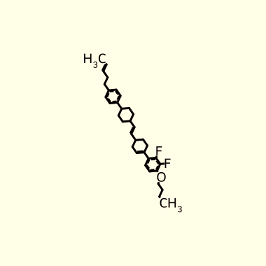 C/C=C/CCc1ccc(C2CCC(/C=C/C3CC=C(c4ccc(OCCCC)c(F)c4F)CC3)CC2)cc1